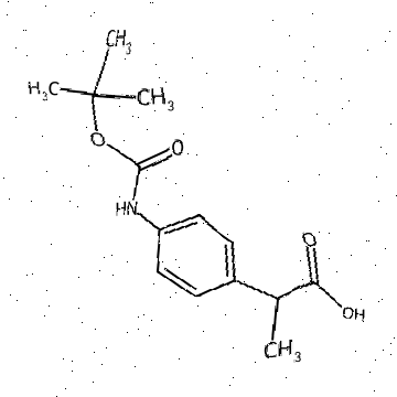 CC(C(=O)O)c1ccc(NC(=O)OC(C)(C)C)cc1